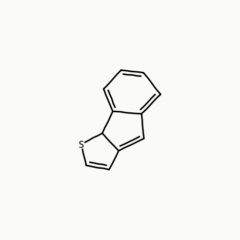 C1=CC2=Cc3ccccc3C2S1